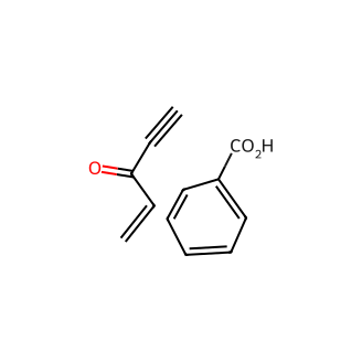 C#CC(=O)C=C.O=C(O)c1ccccc1